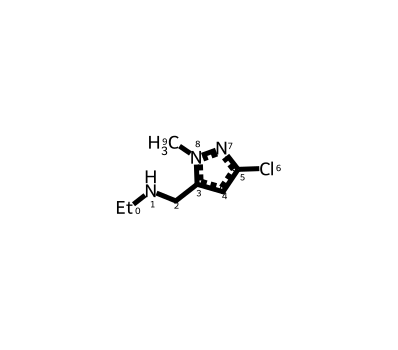 CCNCc1cc(Cl)nn1C